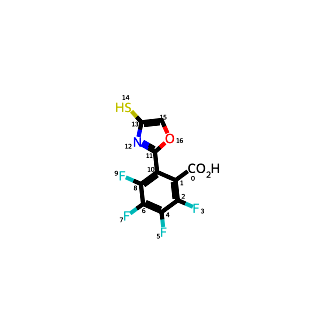 O=C(O)c1c(F)c(F)c(F)c(F)c1-c1nc(S)co1